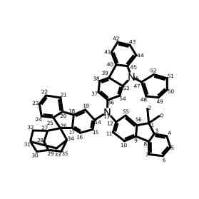 CC1(C)c2ccccc2-c2ccc(N(c3ccc4c(c3)-c3ccccc3C43C4CC5CC(C4)CC3C5)c3ccc4c5ccccc5n(-c5ccccc5)c4c3)cc21